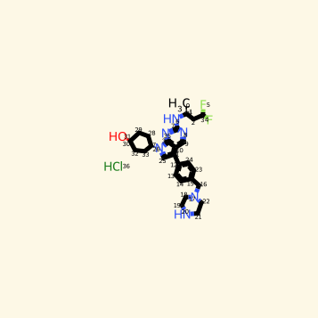 C[C@H](CC(F)F)Nc1ncc2c(-c3ccc(CN4CCNCC4)cc3)cn([C@H]3CC[C@H](O)CC3)c2n1.Cl